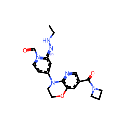 CCN/N=c1/cc(N2CCOc3cc(C(=O)N4CCC4)cnc32)ccn1C=O